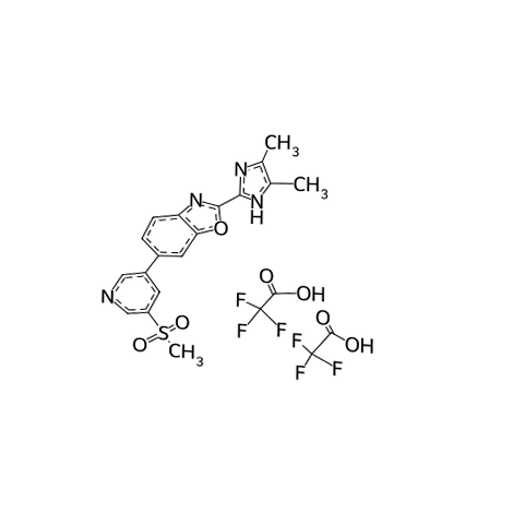 Cc1nc(-c2nc3ccc(-c4cncc(S(C)(=O)=O)c4)cc3o2)[nH]c1C.O=C(O)C(F)(F)F.O=C(O)C(F)(F)F